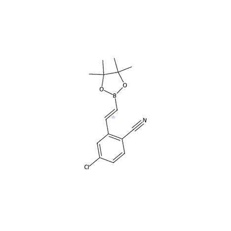 CC1(C)OB(/C=C/c2cc(Cl)ccc2C#N)OC1(C)C